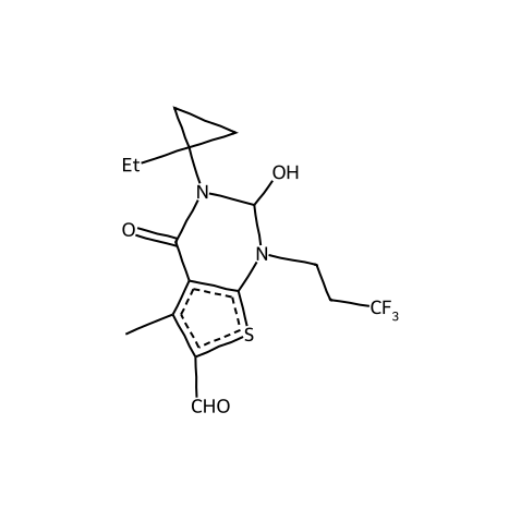 CCC1(N2C(=O)c3c(sc(C=O)c3C)N(CCC(F)(F)F)C2O)CC1